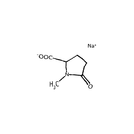 CN1C(=O)CCC1C(=O)[O-].[Na+]